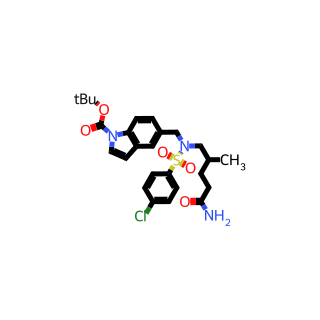 CC(CCC(N)=O)CN(Cc1ccc2c(ccn2C(=O)OC(C)(C)C)c1)S(=O)(=O)c1ccc(Cl)cc1